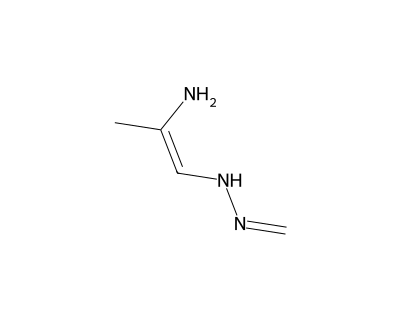 C=NN/C=C(/C)N